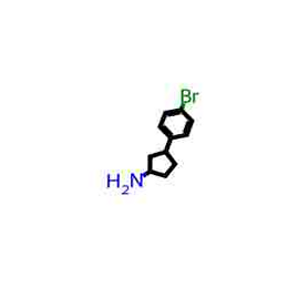 NC1CCC(c2ccc(Br)cc2)C1